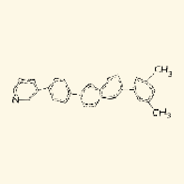 Cc1cc(C)cc(-c2ccc3cc(-c4ccc(-c5cccnc5)cc4)ccc3c2)c1